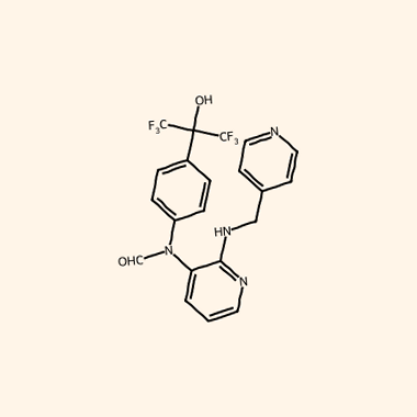 O=CN(c1ccc(C(O)(C(F)(F)F)C(F)(F)F)cc1)c1cccnc1NCc1ccncc1